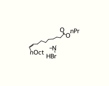 Br.CCCCCCCC/C=C\CCCCCCCC(=O)OCCC.CN(C)C